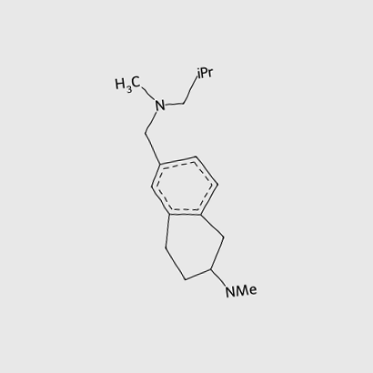 CNC1CCc2cc(CN(C)CC(C)C)ccc2C1